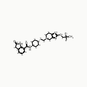 CC(F)(F)COc1nc2c(s1)CCN(CC[C@H]1CC[C@H](NC(=O)c3cccc4c3NC(=O)C4)CC1)C2